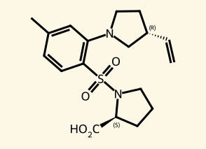 C=C[C@H]1CCN(c2cc(C)ccc2S(=O)(=O)N2CCC[C@H]2C(=O)O)C1